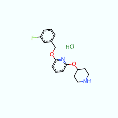 Cl.Fc1cccc(COc2cccc(OC3CCNCC3)n2)c1